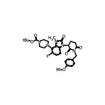 COc1ccc(CN2C(=O)CCC(n3c(=O)n(C)c4c(N5CCN(C(=O)OC(C)(C)C)CC5)c(F)ccc43)C2=O)cc1